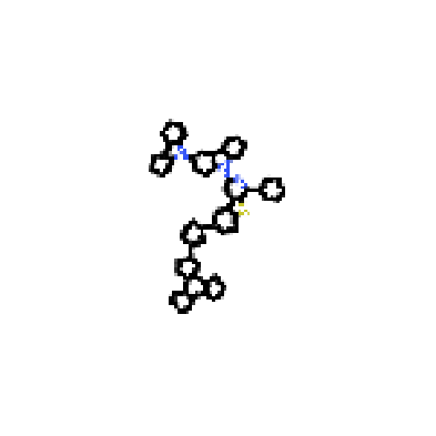 c1ccc(-c2nc(-n3c4ccccc4c4cc(-n5c6ccccc6c6ccccc65)ccc43)cc3c2sc2ccc(-c4cccc(-c5ccc6c7ccccc7c7ccccc7c6c5)c4)cc23)cc1